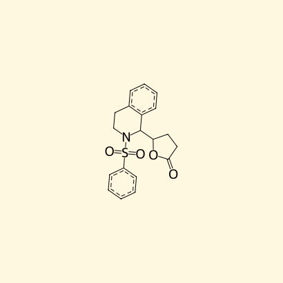 O=C1CCC(C2c3ccccc3CCN2S(=O)(=O)c2ccccc2)O1